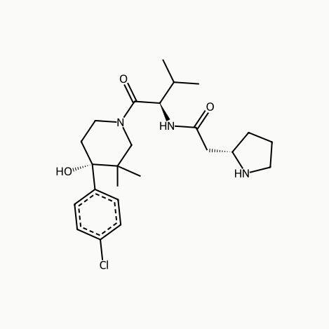 CC(C)[C@@H](NC(=O)C[C@@H]1CCCN1)C(=O)N1CC[C@](O)(c2ccc(Cl)cc2)C(C)(C)C1